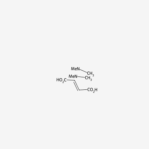 CNC.CNC.O=C(O)C=CC(=O)O